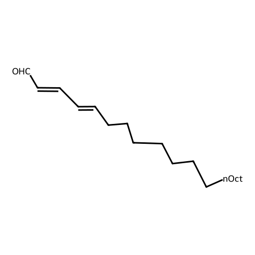 CCCCCCCCCCCCCCCC=CC=CC=O